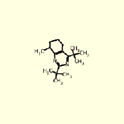 CC1CCCc2c1nc(C(C)(C)C)nc2C(C)(C)C